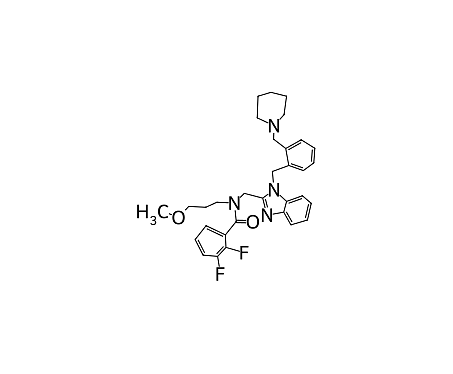 COCCCN(Cc1nc2ccccc2n1Cc1ccccc1CN1CCCCC1)C(=O)c1cccc(F)c1F